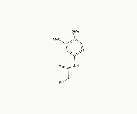 COc1ccc(NC(=O)CC(C)C)cc1OC